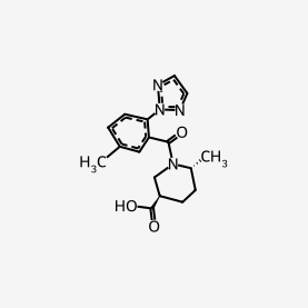 Cc1ccc(-n2nccn2)c(C(=O)N2C[C@H](C(=O)O)CC[C@H]2C)c1